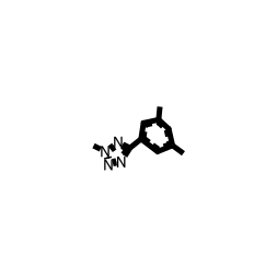 Cc1cc(C)cc(-c2nnn(C)n2)c1